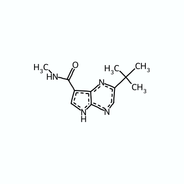 CNC(=O)c1c[nH]c2ncc(C(C)(C)C)nc12